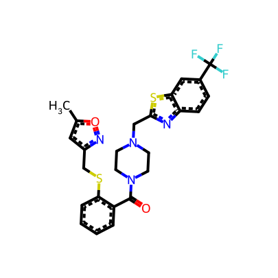 Cc1cc(CSc2ccccc2C(=O)N2CCN(Cc3nc4ccc(C(F)(F)F)cc4s3)CC2)no1